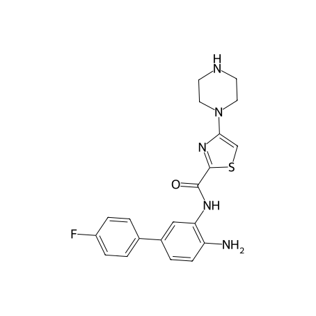 Nc1ccc(-c2ccc(F)cc2)cc1NC(=O)c1nc(N2CCNCC2)cs1